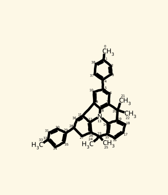 Cc1ccc(-c2cc3c4c(c2)c2c5n4-c4c(cccc4C3(C)C)C(C)(C)C=5CC(c3ccc(C)cc3)C=2)cc1